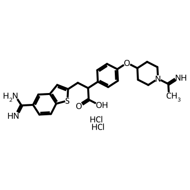 CC(=N)N1CCC(Oc2ccc(C(Cc3cc4cc(C(=N)N)ccc4s3)C(=O)O)cc2)CC1.Cl.Cl